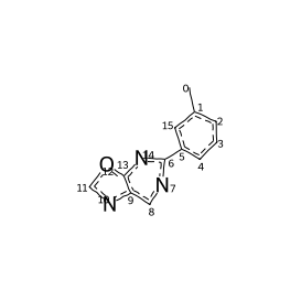 Cc1cccc(-c2ncc3ncoc3n2)c1